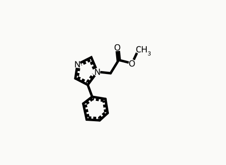 COC(=O)Cn1cncc1-c1ccccc1